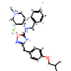 CC(C)COc1ccc(Cc2noc(N(Cc3ccc(F)cc3)[C@H]3CCN(C)C[C@H]3F)n2)cc1